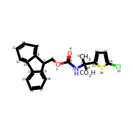 CC(NC(=O)OCC1c2ccccc2-c2ccccc21)(C(=O)O)c1ccc(Cl)s1